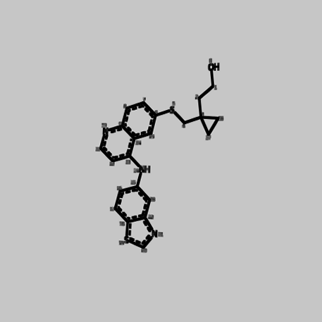 OCCC1(CSc2ccc3nccc(Nc4ccc5scnc5c4)c3c2)CC1